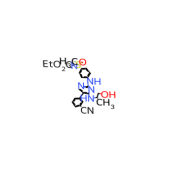 CCOC(=O)N=S(C)(=O)c1ccc(Nc2ncc(-c3cccc(C#N)c3)c(N[C@H](C)CO)n2)cc1